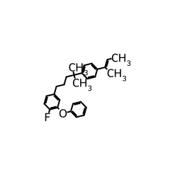 CC=C(C)c1ccc(C(C)(C)CCCc2ccc(F)c(Oc3ccccc3)c2)cc1